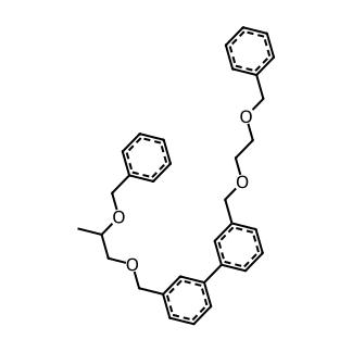 CC(COCc1cccc(-c2cccc(COCCOCc3ccccc3)c2)c1)OCc1ccccc1